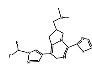 CN(C)CC1CC2=C(c3cnn(C(F)F)c3)CN=C(c3nccs3)N2C1